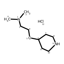 CN(C)CCOC1CCNCC1.Cl